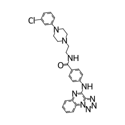 O=C(NCCN1CCN(c2cccc(Cl)c2)CC1)c1ccc(Nc2nc3ccccc3n3nnnc23)cc1